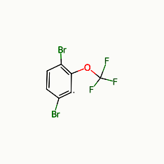 FC(F)(F)Oc1[c]c(Br)ccc1Br